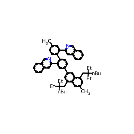 CCCCC(CC)(CC)Cc1cc(-c2ccc(-c3ccc(C)cc3-c3cc4ccccc4cn3)c(-c3cc4ccccc4cn3)c2)cc2c(CC(CC)(CC)CCCC)cc(C)cc12